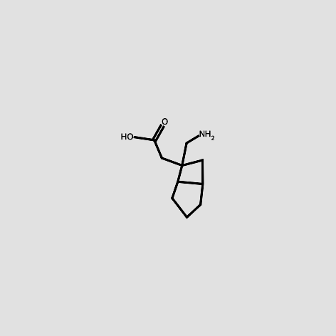 NCC1(CC(=O)O)CC2CCCC21